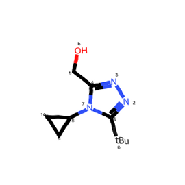 CC(C)(C)c1nnc(CO)n1C1CC1